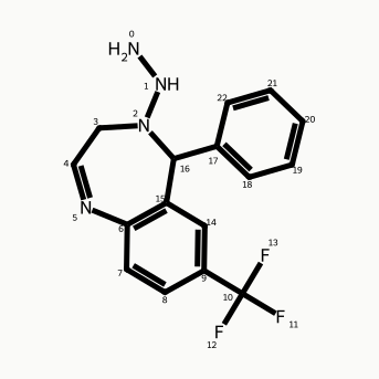 NNN1CC=Nc2ccc(C(F)(F)F)cc2C1c1ccccc1